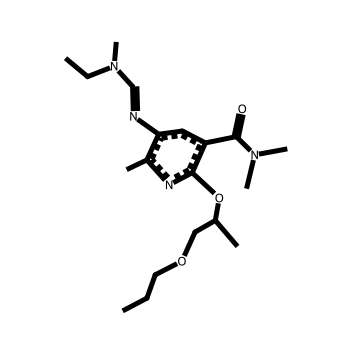 CCCOCC(C)Oc1nc(C)c(N=CN(C)CC)cc1C(=O)N(C)C